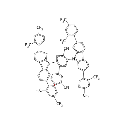 N#Cc1cccc(-c2cc(-n3c4cc(-c5ccc(C(F)(F)F)cc5C(F)(F)F)ccc4c4ccc(-c5ccc(C(F)(F)F)cc5C(F)(F)F)cc43)c(C#N)cc2-n2c3cc(-c4ccc(C(F)(F)F)cc4C(F)(F)F)ccc3c3ccc(-c4ccc(C(F)(F)F)cc4C(F)(F)F)cc32)c1